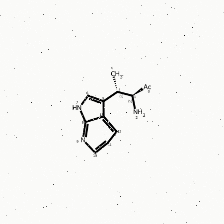 CC(=O)[C@@H](N)[C@@H](C)c1c[nH]c2ncccc12